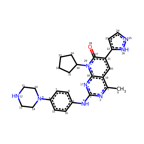 Cc1nc(Nc2ccc(N3CCNCC3)cc2)nc2c1cc(-c1ccn[nH]1)c(=O)n2C1CCCC1